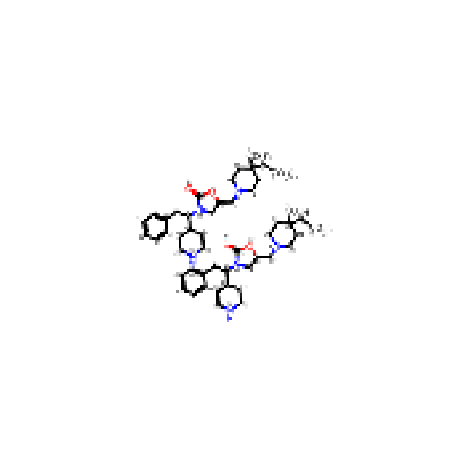 CCOC(=O)CC1(C(=O)OCC)CCN(CC2CN(C(Cc3ccccc3)C3CCNCC3)C(=O)O2)CC1.O=C(O)CC1(C(=O)O)CCN(CC2CN(C(Cc3ccccc3)C3CCNCC3)C(=O)O2)CC1